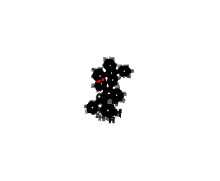 [2H]c1c([2H])c([2H])c(-c2c(-c3ccccc3)oc3c(-c4ccccc4)c(-c4ccc5c(-c6ccccc6)c6ccccc6c(-c6ccccc6)c5c4)c4ccccc4c23)c([2H])c1[2H]